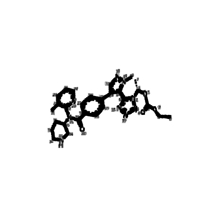 CCOC(=O)O[C@@H](C)n1nnnc1-c1c(-c2ccc(C(=O)N(c3ncccc3C)[C@@H]3CCCNC3)cc2)cnn1C